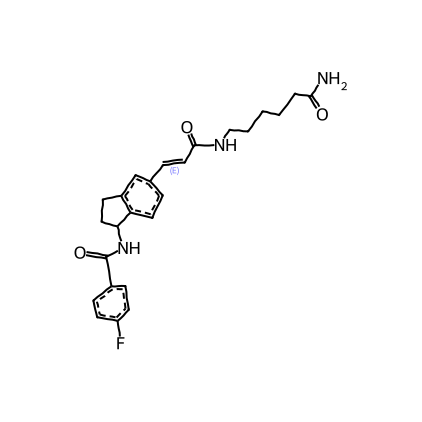 NC(=O)CCCCCNC(=O)/C=C/c1ccc2c(c1)CCC2NC(=O)c1ccc(F)cc1